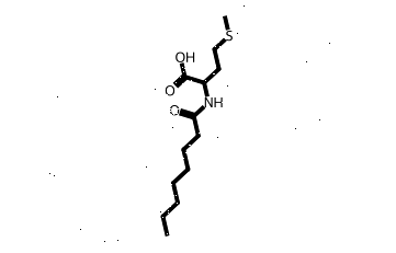 CCCCCCCC(=O)NC(CCSC)C(=O)O